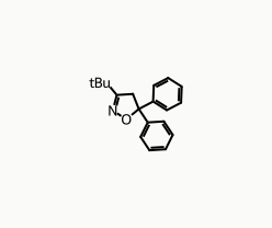 CC(C)(C)C1=NOC(c2ccccc2)(c2ccccc2)C1